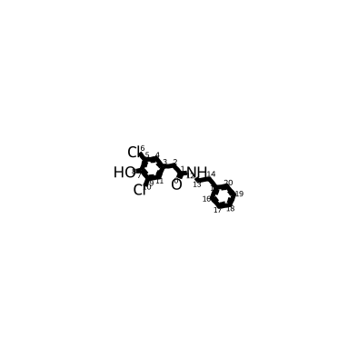 O=C(Cc1cc(Cl)c(O)c(Cl)c1)NCCc1ccccc1